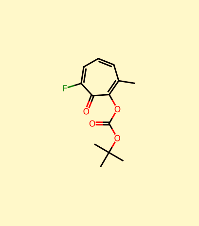 Cc1cccc(F)c(=O)c1OC(=O)OC(C)(C)C